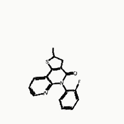 CC1Cc2c(c3cccnc3n(-c3ccccc3F)c2=O)S1